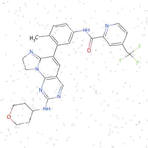 Cc1ccc(NC(=O)c2cc(C(F)(F)F)ccn2)cc1C1=Cc2cnc(NC3CCOCC3)nc2N2CCN=C12